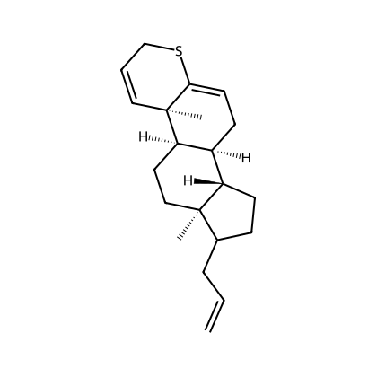 C=CCC1CC[C@H]2[C@@H]3CC=C4SCC=C[C@]4(C)[C@@H]3CC[C@]12C